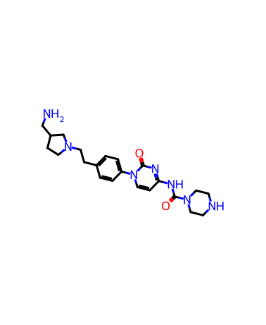 NCC1CCN(CCc2ccc(-n3ccc(NC(=O)N4CCNCC4)nc3=O)cc2)C1